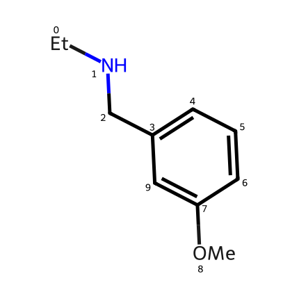 CCNCc1cccc(OC)c1